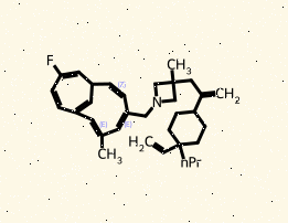 C=CC1(CCC)CCC(C(=C)CC2(C)CN(CC3=C/C(C)=C/C4=CC(C=C(F)C=C4)/C=C\3)C2)CC1